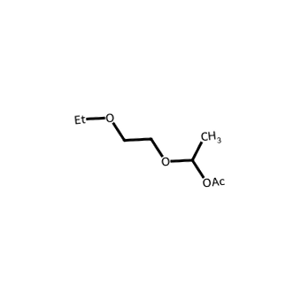 CCOCCOC(C)OC(C)=O